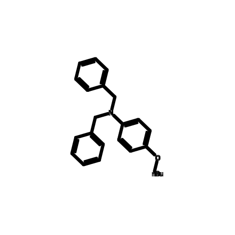 CCCCOc1ccc(N(Cc2ccccc2)Cc2ccccc2)cc1